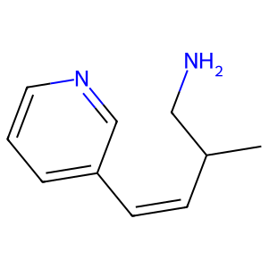 CC(/C=C\c1cccnc1)CN